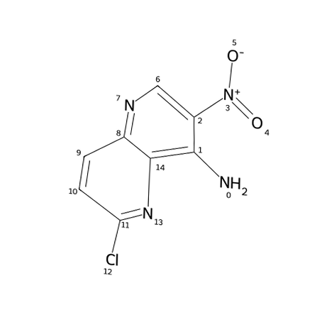 Nc1c([N+](=O)[O-])cnc2ccc(Cl)nc12